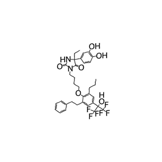 CCCc1cc(C(O)(C(F)(F)F)C(F)(F)F)cc(CCc2ccccc2)c1OCCCCN1C(=O)NC(CC)(c2ccc(O)c(O)c2)C1=O